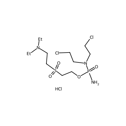 CCN(CC)CCS(=O)(=O)CCOP(N)(=O)N(CCCl)CCCl.Cl